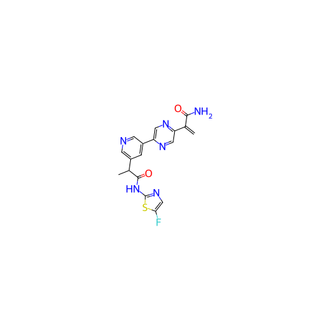 C=C(C(N)=O)c1cnc(-c2cncc(C(C)C(=O)Nc3ncc(F)s3)c2)cn1